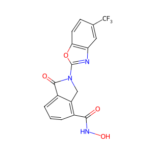 O=C(NO)c1cccc2c1CN(c1nc3cc(C(F)(F)F)ccc3o1)C2=O